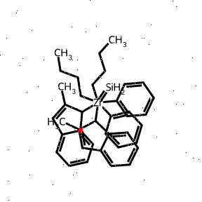 CCC[CH2][Zr](=[SiH2])([CH2]CCC)([c]1ccccc1)([c]1ccccc1)([CH]1C(C)=Cc2ccccc21)[CH]1C(C)=Cc2ccccc21